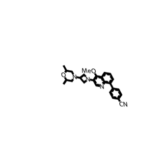 COc1c(N2CC(N3CC(C)OC(C)C3)C2)cnc2c(-c3ccc(C#N)cc3)cccc12